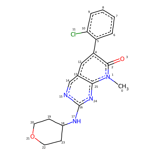 Cn1c(=O)c(-c2ccccc2Cl)cc2cnc(NC3CCOCC3)nc21